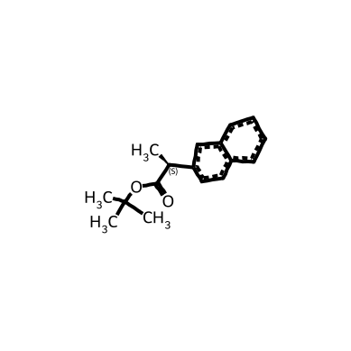 C[C@H](C(=O)OC(C)(C)C)c1ccc2ccccc2c1